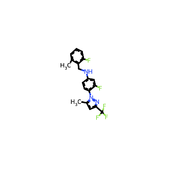 Cc1cccc(F)c1CNc1ccc(-n2nc(C(F)(F)F)cc2C)c(F)c1